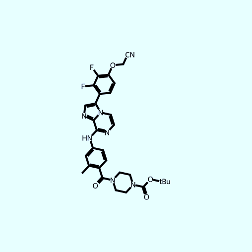 Cc1cc(Nc2nccn3c(-c4ccc(OCC#N)c(F)c4F)cnc23)ccc1C(=O)N1CCN(C(=O)OC(C)(C)C)CC1